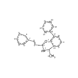 CC(NC(=O)C=Cc1ccccc1)c1cccc(-c2cnccn2)c1